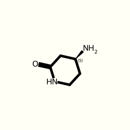 N[C@H]1CCNC(=O)C1